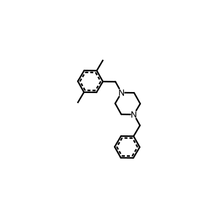 Cc1ccc(C)c(CN2CCN(Cc3ccccc3)CC2)c1